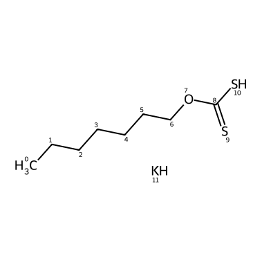 CCCCCCCOC(=S)S.[KH]